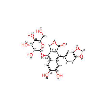 O=C1OCc2c1c(-c1ccc3c(c1)OCO3)c1cc(O)c(O)cc1c2OC1O[C@H](CO)[C@H](O)[C@H](O)[C@H]1O